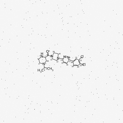 CC(C)N1CCNC(C(=O)N2CCN(c3ccc(-c4ccc(Cl)c(Cl)c4)nn3)CC2)C1